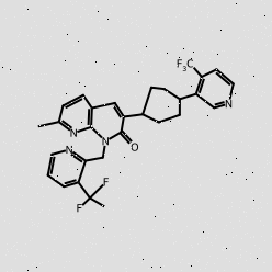 Cc1ccc2cc(C3CCC(c4cnccc4C(F)(F)F)CC3)c(=O)n(Cc3ncccc3C(C)(F)F)c2n1